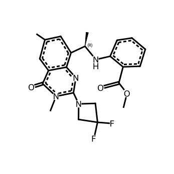 COC(=O)c1ccccc1N[C@H](C)c1cc(C)cc2c(=O)n(C)c(N3CC(F)(F)C3)nc12